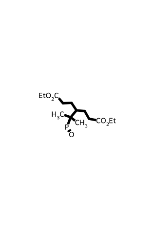 CCOC(=O)CCC(CCC(=O)OCC)C(C)(C)P=O